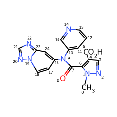 Cn1ncc(C(=O)O)c1C(=O)N(c1cccnc1)c1ccn2ncnc2c1